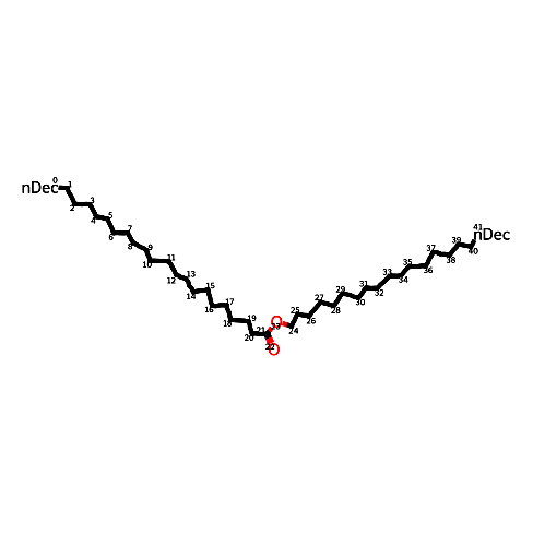 CCCCCCCCCCCCCCCCCCCCCCCCCCCCCCC(=O)OCCCCCCCCCCCCCCCCCCCCCCCCCCC